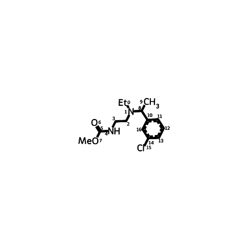 CCN(CCNC(=O)OC)C(C)c1cccc(Cl)c1